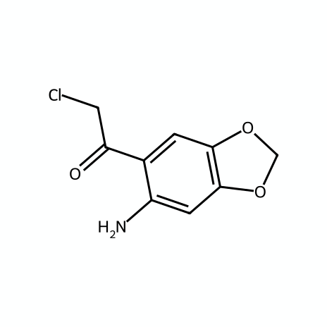 Nc1cc2c(cc1C(=O)CCl)OCO2